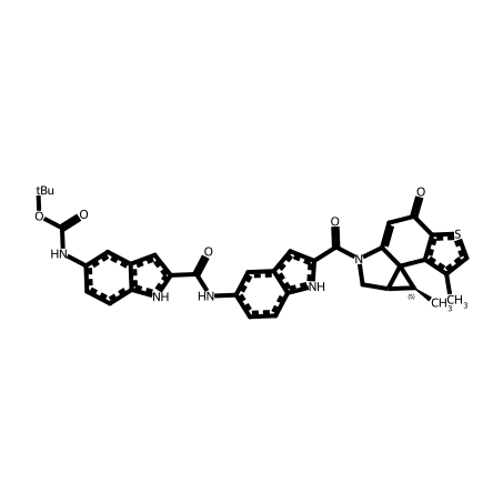 Cc1csc2c1C13C(=CC2=O)N(C(=O)c2cc4cc(NC(=O)c5cc6cc(NC(=O)OC(C)(C)C)ccc6[nH]5)ccc4[nH]2)CC1[C@@H]3C